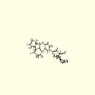 C=C(/C=C/c1ccc(CC2c3ccccc3-c3ccccc32)cc1)NO